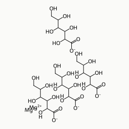 O=C([O-])C(O)C(O)C(O)C(O)CO.O=C([O-])C(O)C(O)C(O)C(O)CO.O=C([O-])C(O)C(O)C(O)C(O)CO.O=C([O-])C(O)C(O)C(O)C(O)CO.[Mg+2].[Mg+2]